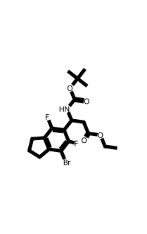 CCOC(=O)CC(NC(=O)OC(C)(C)C)c1c(F)c(Br)c2c(c1F)CCC2